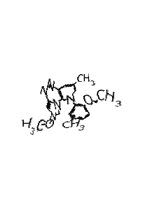 CCOc1ccc(C)cc1N1CC(C)=CC2=C1N1CN(OC)C=C1N=N2